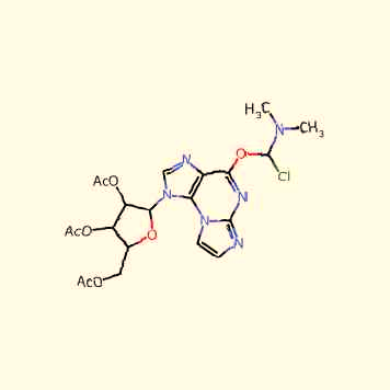 CC(=O)OCC1OC(n2cnc3c(OC(Cl)N(C)C)nc4nccn4c32)C(OC(C)=O)C1OC(C)=O